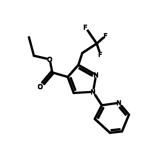 CCOC(=O)c1cn(-c2ccccn2)nc1CC(F)(F)F